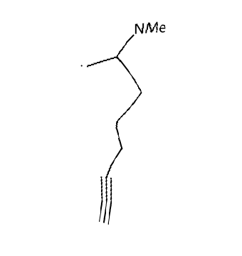 C#CCCCC([CH2])NC